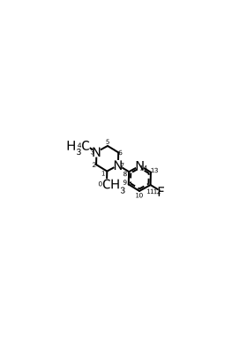 CC1CN(C)CCN1c1ccc(F)cn1